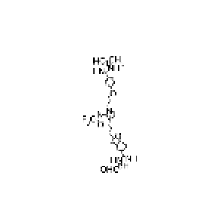 CB(O)NC(=N)c1ccc(OCCCn2ccn(CCCc3cc4cc(C(=N)NBC=O)ccc4o3)/c2=N\C(=O)C(F)(F)F)cc1